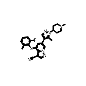 Cc1cccc(F)c1Sc1cc(-c2cnn(C3CCN(C)CC3)c2C)cn2ncc(C#N)c12